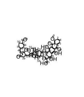 COc1cccc2c1C(=O)c1c(O)c3c(c(O)c1C2=O)C[C@@](O)(C(=O)CO)C[C@@H]3O[C@H]1C[C@H]2[C@H](O[C@@H]3C(CC4CC(=O)N(CC5CCC(C=O)CC5)C4=O)OCCN32)[C@H](C)O1